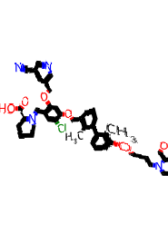 Cc1c(COc2cc(OCc3cncc(C#N)c3)c(CN3CCCC[C@H]3C(=O)O)cc2Cl)cccc1-c1cccc(OCCCN2CCCCC2CO)c1C